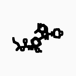 CCCC(C)OC(=O)Nc1ccc(-c2nc(N3CCOCC3)n3ccnc(C)c23)cc1OC